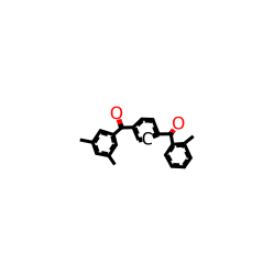 Cc1cc(C)cc(C(=O)c2ccc(C(=O)c3ccccc3C)cc2)c1